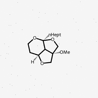 CCCCCCC[C@]12OCC[C@@H]3OC[C@](OC)(CO1)C32